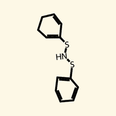 C1=CC(SNSc2ccccc2)=CCC1